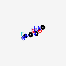 CN(C)C1CN(c2ccc(N3CCC[C@@H](NC(=O)Nc4ccccc4)C3=O)cc2)CC1F